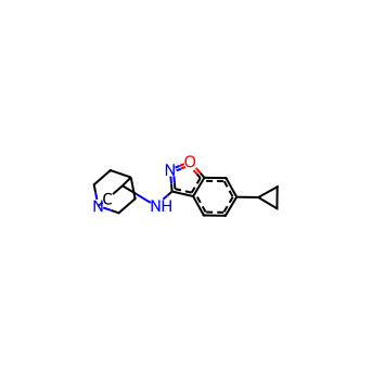 c1cc2c(NC3CN4CCC3CC4)noc2cc1C1CC1